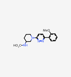 COc1ccccc1-c1ccc(N2CCCC(NC(=O)O)C2)nn1